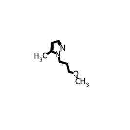 COCCCn1nccc1C